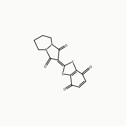 O=C1C=CC(=O)C2=C1SC(=C1C(=O)N3CCCCN3C1=O)S2